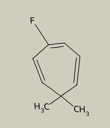 CC1(C)C=CC=C(F)C=C1